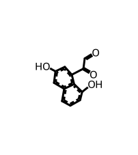 O=CC(=O)c1cc(O)cc2cccc(O)c12